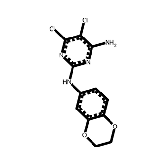 Nc1nc(Nc2ccc3c(c2)OCCO3)nc(Cl)c1Cl